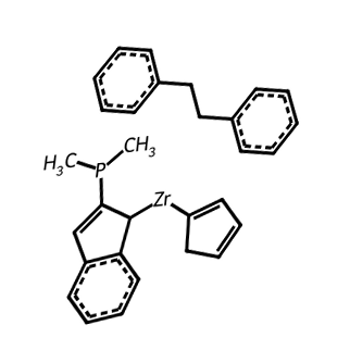 CP(C)C1=Cc2ccccc2[CH]1[Zr][C]1=CC=CC1.c1ccc(CCc2ccccc2)cc1